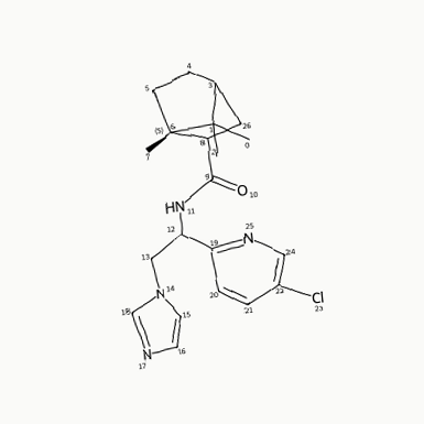 CC1(C)C2CC[C@@]1(C)C(C(=O)NC(Cn1ccnc1)c1ccc(Cl)cn1)C2